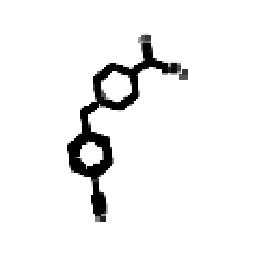 N#Cc1ccc(CN2CCC(C(N)=O)CC2)cc1